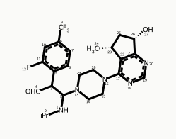 CC(C)NC(C(C=O)c1ccc(C(F)(F)F)cc1F)N1CCN(c2ncnc3c2[C@H](C)C[C@@H]3O)CC1